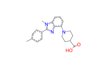 Cc1ccc(-c2nc3c(N4CCC(C(=O)O)CC4)cccc3n2C)cc1